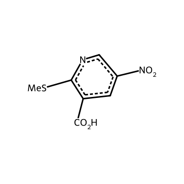 CSc1ncc([N+](=O)[O-])cc1C(=O)O